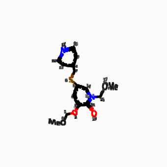 COCOc1cc(SCc2ccncc2)cn(COC)c1=O